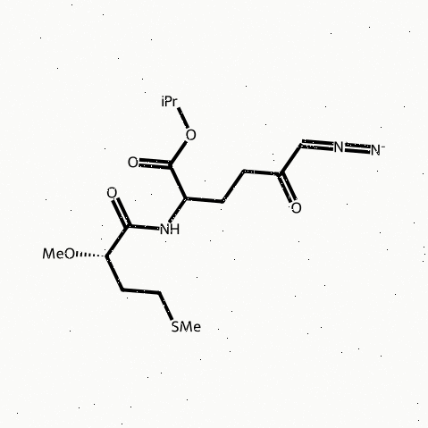 CO[C@@H](CCSC)C(=O)NC(CCC(=O)C=[N+]=[N-])C(=O)OC(C)C